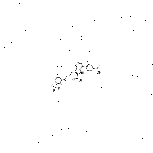 Cc1cc(C(=O)O)ccc1-c1cccc2c(CCCOc3cccc(C(F)(F)F)c3F)c(C(=O)O)[nH]c12